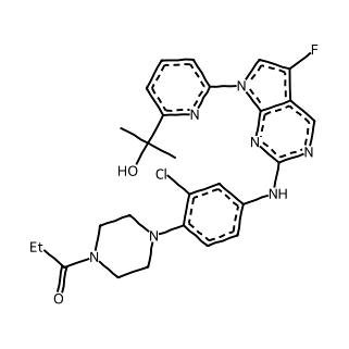 CCC(=O)N1CCN(c2ccc(Nc3ncc4c(F)cn(-c5cccc(C(C)(C)O)n5)c4n3)cc2Cl)CC1